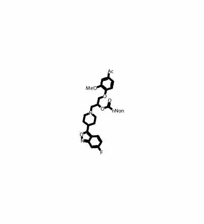 CCCCCCCCCC(=O)OC(COc1ccc(C(C)=O)cc1OC)CN1CCC(c2onc3cc(F)ccc23)CC1